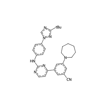 CC(C)(C)c1ncn(-c2ccc(Nc3nccc(-c4cc(C#N)cc(N5CCCCCC5)c4)n3)cc2)n1